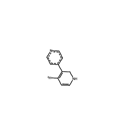 [2H]C1=C(c2ccncc2)CNC=C1